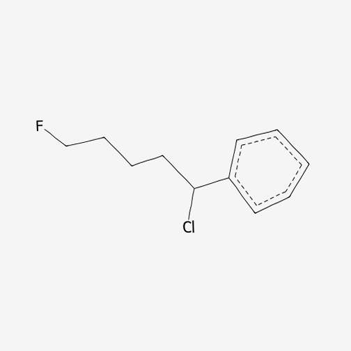 FCCCCC(Cl)c1ccccc1